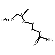 CCCCCCC(C)SCCCC(N)=O